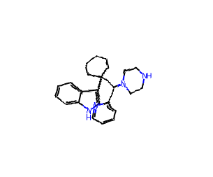 c1ccc(C(N2CCNCC2)C2(c3c[nH]c4ccccc34)CCCCC2)nc1